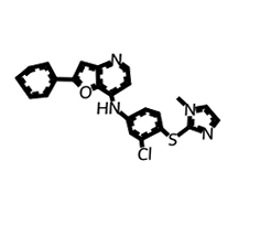 Cn1ccnc1Sc1ccc(Nc2ccnc3cc(-c4ccccc4)oc23)cc1Cl